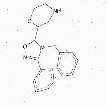 c1ccc(CN2C(c3ccccc3)=NOC2C2CNCCO2)cc1